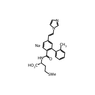 CSCC[C@H](NC(=O)c1ccc(C=Cn2ccnc2)cc1-c1ccccc1C)C(=O)O.[Na]